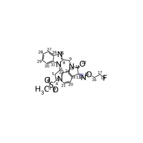 CS(=O)(=O)CCCn1c(CN2C(=O)/C(=N\OCCF)c3ccncc32)nc2ccccc21